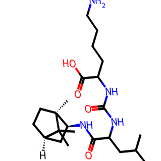 CC(C)CC(NC(=O)NC(CCCCN)C(=O)O)C(=O)N[C@H]1C[C@H]2CC[C@]1(C)C2(C)C